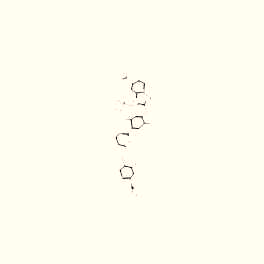 COC(=O)c1ccc2nc(Cc3cc(F)c(-c4cccc(OCc5ccc(C#N)cc5F)n4)cc3F)n(CC3(F)COC3)c2c1